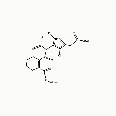 CCCCCOC(=O)C1=C(C(=O)N(C(=O)CC)c2c(F)sc(CC(=O)OC)c2Cl)CCCC1